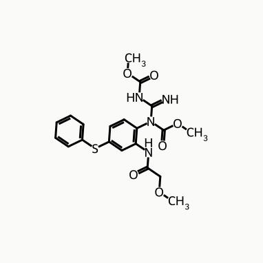 COCC(=O)Nc1cc(Sc2ccccc2)ccc1N(C(=N)NC(=O)OC)C(=O)OC